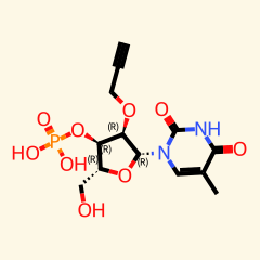 C#CCO[C@@H]1[C@H](OP(=O)(O)O)[C@@H](CO)O[C@H]1n1cc(C)c(=O)[nH]c1=O